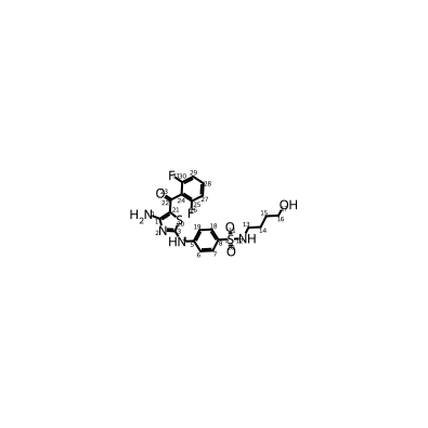 Nc1nc(Nc2ccc(S(=O)(=O)NCCCCO)cc2)sc1C(=O)c1c(F)cccc1F